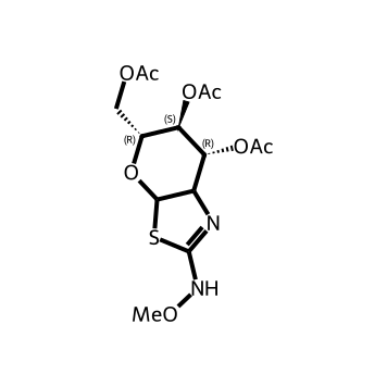 CONC1=NC2C(O[C@H](COC(C)=O)[C@@H](OC(C)=O)[C@@H]2OC(C)=O)S1